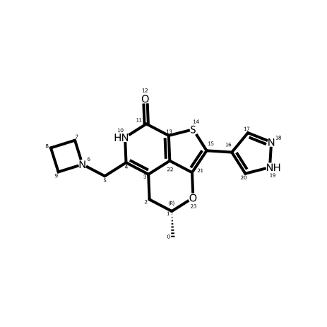 C[C@@H]1Cc2c(CN3CCC3)[nH]c(=O)c3sc(-c4cn[nH]c4)c(c23)O1